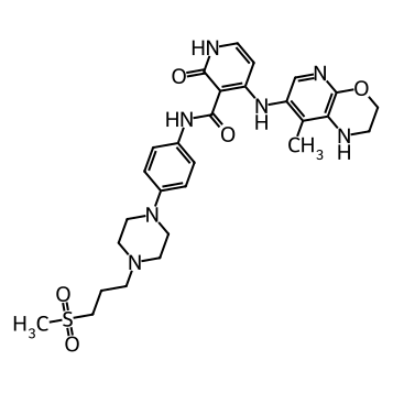 Cc1c(Nc2cc[nH]c(=O)c2C(=O)Nc2ccc(N3CCN(CCCS(C)(=O)=O)CC3)cc2)cnc2c1NCCO2